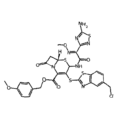 CON=C(C(=O)NC1S[C@H]2CC(=O)N2C(C(=O)OCc2ccc(OC)cc2)=C1Sc1nc2cc(CCl)ccc2s1)c1nsc(N)n1